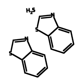 S.c1ccc2scnc2c1.c1ccc2scnc2c1